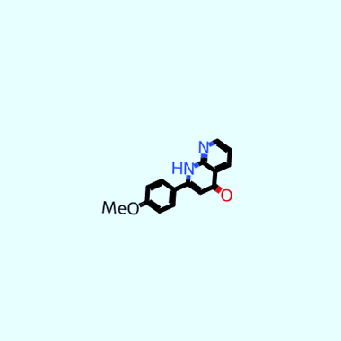 COc1ccc(-c2cc(=O)c3cccnc3[nH]2)cc1